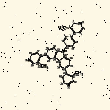 Cc1cnccc1-c1ccc(-n2c3ccc(-c4ccncc4C)cc3c3cc(-c4ccncc4C)ccc32)cc1